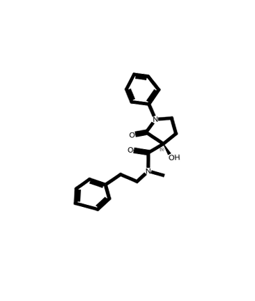 CN(CCc1ccccc1)C(=O)[C@@]1(O)CCN(c2ccccc2)C1=O